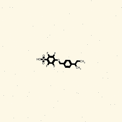 CCC(C)c1ccc(COc2c(F)c(F)c(S(=O)(=O)O)c(F)c2F)cc1